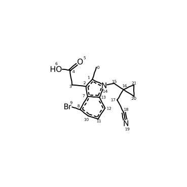 Cc1c(CC(=O)O)c2c(Br)cccc2n1CC1(CC#N)CC1